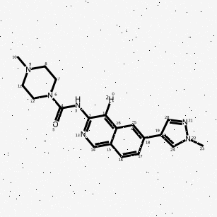 [2H]c1c(NC(=O)N2CCN(C)CC2)ncc2ccc(-c3cnn(C)c3)cc12